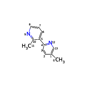 Cc1ccc(-c2cccnc2C)nc1